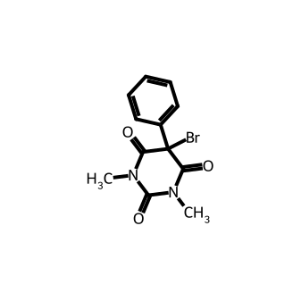 CN1C(=O)N(C)C(=O)C(Br)(c2ccccc2)C1=O